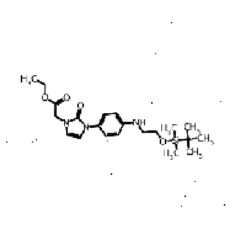 CCOC(=O)Cn1ccn(-c2ccc(NCCO[Si](C)(C)C(C)(C)C)cc2)c1=O